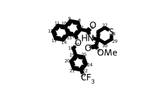 COC(=O)C1(NC(=O)c2ccc3ccccc3c2OCc2ccc(C(F)(F)F)cc2)CCSCC1